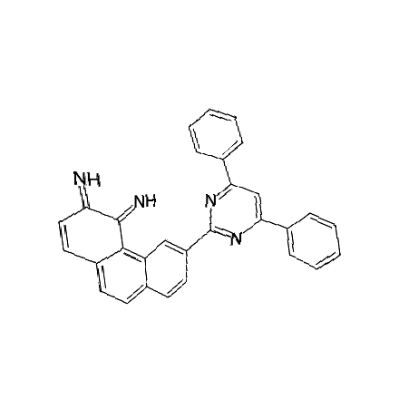 N=C1C=Cc2ccc3ccc(-c4nc(-c5ccccc5)cc(-c5ccccc5)n4)cc3c2C1=N